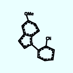 COc1ccc2c(ccn2-c2ccccc2C#N)c1